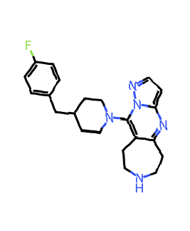 Fc1ccc(CC2CCN(c3c4c(nc5ccnn35)CCNCC4)CC2)cc1